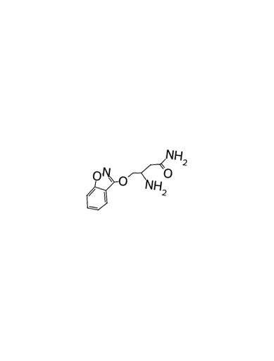 NC(=O)CC(N)COc1noc2ccccc12